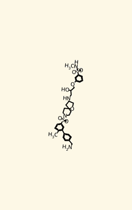 CNS(=O)(=O)c1cccc(OCC(O)CNC2COC3(CCN(S(=O)(=O)c4ccc(C)c(-c5ccc(CN)cc5)c4)CC3)C2)c1